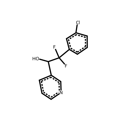 OC(c1cccnc1)C(F)(F)c1cccc(Cl)c1